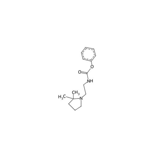 CC1(C)CCCN1CCNC(=O)Oc1ccccc1